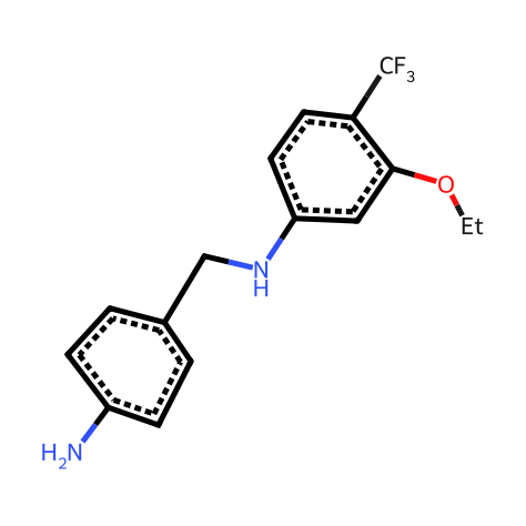 CCOc1cc(NCc2ccc(N)cc2)ccc1C(F)(F)F